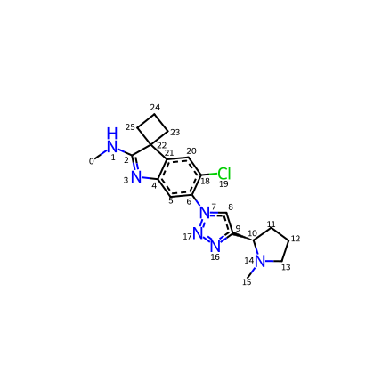 CNC1=Nc2cc(-n3cc([C@H]4CCCN4C)nn3)c(Cl)cc2C12CCC2